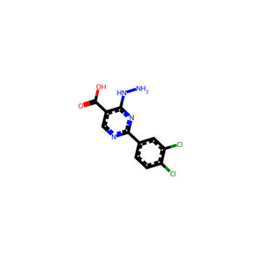 NNc1nc(-c2ccc(Cl)c(Cl)c2)ncc1C(=O)O